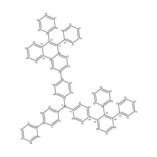 c1ccc(-c2ccc(N(c3ccc(-c4ccc5c(-c6ccccc6)c(-c6ccccc6)c6ccccc6c5c4)cc3)c3ccc(-c4cccc(-c5ccccc5)c4-c4ccccc4)cc3)cc2)cc1